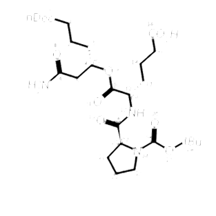 CCCCCCCCCCCCC[C@@H](CC(N)=O)OC(=O)[C@H](CCCC(=O)O)NC(=O)[C@@H]1CCCN1C(=O)OC(C)(C)C